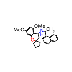 COc1cc(OC)c2c(c1)OC1(CCCC1)C[C@@H]2NC(C)c1cccc2ccccc12